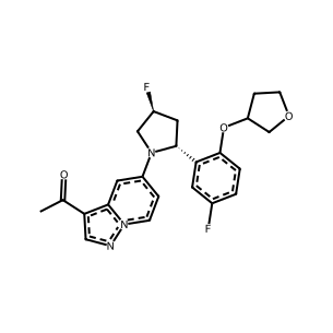 CC(=O)c1cnn2ccc(N3C[C@@H](F)C[C@@H]3c3cc(F)ccc3OC3CCOC3)cc12